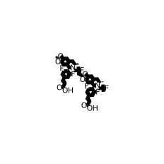 C[C@@H]1Cc2cc3c(cc2[C@@H](c2c(F)cc(/C=C/C(=O)O)cc2F)N1CC(C)(F)CC1Oc2cc4c(cc2O1)[C@H](c1c(F)cc(/C=C/C(=O)O)cc1F)N(CC(C)(C)F)[C@@H](C)C4)OCO3